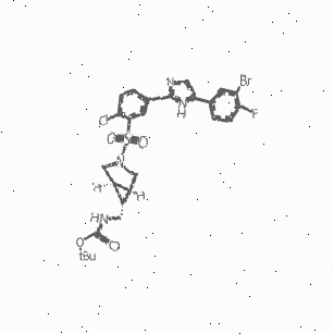 CC(C)(C)OC(=O)NC[C@@H]1[C@H]2CN(S(=O)(=O)c3cc(-c4ncc(-c5ccc(F)c(Br)c5)[nH]4)ccc3Cl)C[C@@H]12